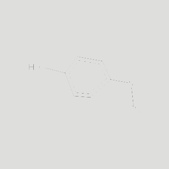 Cc1ccc([S][Pt])cc1